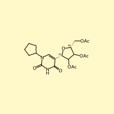 CC(=O)OC[C@H]1O[C@@H](c2cn(C3CCCC3)c(=O)[nH]c2=O)C(OC(C)=O)C1OC(C)=O